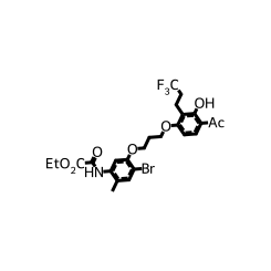 CCOC(=O)C(=O)Nc1cc(OCCCOc2ccc(C(C)=O)c(O)c2CCC(F)(F)F)c(Br)cc1C